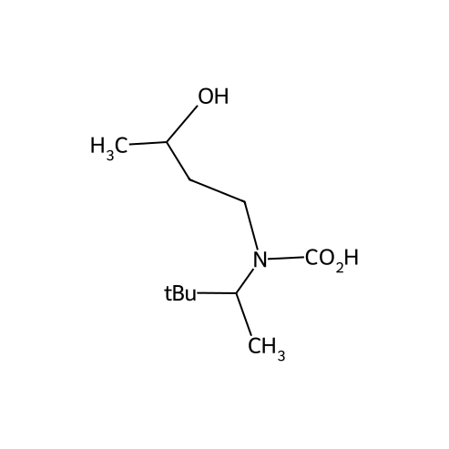 CC(O)CCN(C(=O)O)C(C)C(C)(C)C